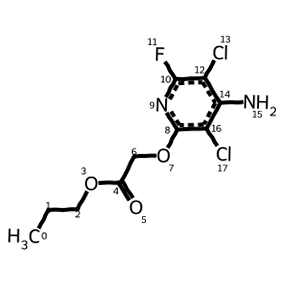 CCCOC(=O)COc1nc(F)c(Cl)c(N)c1Cl